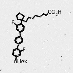 CCCCCCc1ccc(-c2ccc(-c3ccc(C4(CCCCCCCC(=O)O)CCCC4)c(F)c3)cc2)c(F)c1